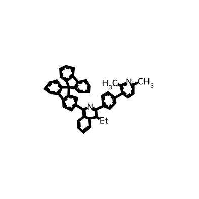 CCC1C(c2ccc(-c3ccc(C)nc3C)cc2)=NC(c2ccc3c(c2)C2(c4ccccc4-c4ccccc42)c2ccccc2-3)=C2C=CC=CC21